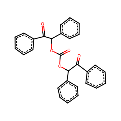 O=C(OC(C(=O)c1ccccc1)c1ccccc1)OC(C(=O)c1ccccc1)c1ccccc1